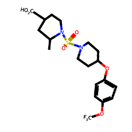 CC1CC(C(=O)O)CCN1S(=O)(=O)N1CCC(Oc2ccc(OC(F)(F)F)cc2)CC1